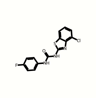 O=C(Nc1ccc(F)cc1)Nc1nc2c(Cl)cccc2s1